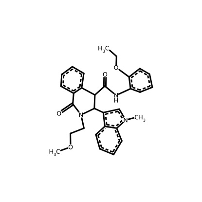 CCOc1ccccc1NC(=O)C1c2ccccc2C(=O)N(CCOC)C1c1cn(C)c2ccccc12